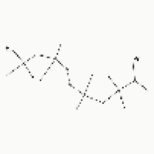 CCC(C)(C)CC(C)(C)SSC(C)(C)CC(C)(C)C(C)C(C)C